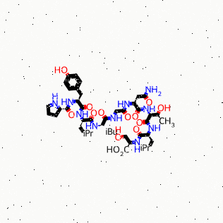 CC[C@H](C)[C@H](NC(=O)[C@H](CC(C)C)NC(=O)[C@H](Cc1ccc(O)cc1)NC(=O)[C@@H]1CCCN1)C(=O)NCC(=O)N[C@@H](CC(N)=O)C(=O)N[C@H](C(=O)N[C@@H](CC(C)C)C(=O)N[C@@H](CO)C(=O)O)[C@@H](C)O